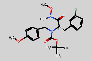 COc1ccc(CN(C(=O)OC(C)(C)C)[C@@H](Cc2cccc(Cl)c2)C(=O)N(C)OC)cc1